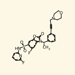 C[C@H](c1cccc(C#CCN2CCOCC2)c1)n1c(=O)oc2cc(S(=O)(=O)Nc3cccc(F)n3)c(F)cc21